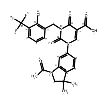 CC(=O)N1CC(C)(C)c2ccc(-n3cc(C(=O)O)c(=O)n(Cc4cccc(C(F)(F)F)c4Cl)c3=O)cc21